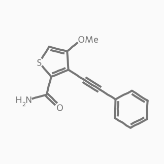 COc1csc(C(N)=O)c1C#Cc1ccccc1